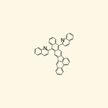 c1ccc2nc(-c3c4ccccc4c(-c4ccc5ccccc5n4)c4cc5c(cc34)-c3cccc4c3c-5cc3ccccc34)ccc2c1